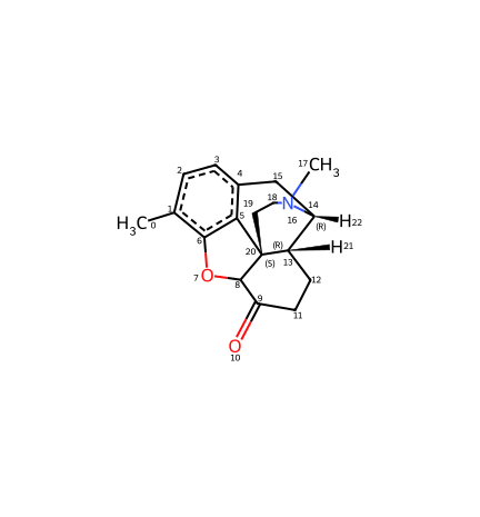 Cc1ccc2c3c1OC1C(=O)CC[C@H]4[C@@H](C2)N(C)CC[C@]314